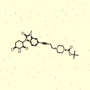 Cn1c(=O)n(C2CCC(=O)NC2=O)c2ccc(C#CCCN3CCN(C(=O)OC(C)(C)C)CC3)cc21